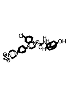 CS(=O)(=O)N1CCN(c2ccc(N3CCN(OC(=O)NC4[C@@H]5CC6C[C@H]4CC(O)(C6)C5)c4ccc(Cl)cc43)cc2)CC1